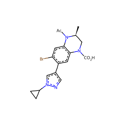 CC(=O)N1c2cc(Br)c(-c3cnn(C4CC4)c3)cc2N(C(=O)O)C[C@@H]1C